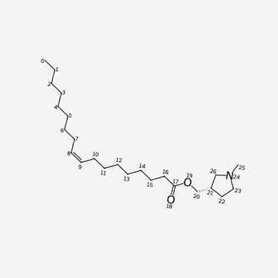 CCCCCCCC/C=C\CCCCCCCC(=O)OC[C@H]1CCN(C)C1